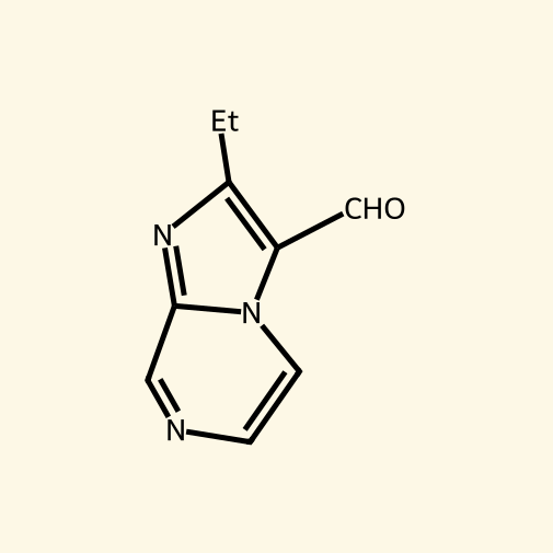 CCc1nc2cnccn2c1C=O